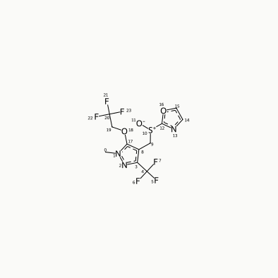 Cn1nc(C(F)(F)F)c(C[S+]([O-])c2ncco2)c1OCC(F)(F)F